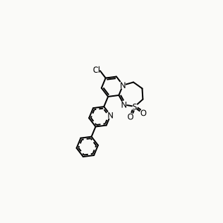 O=S1(=O)CCCN2C=C(Cl)C=C(c3ccc(-c4ccccc4)cn3)C2=N1